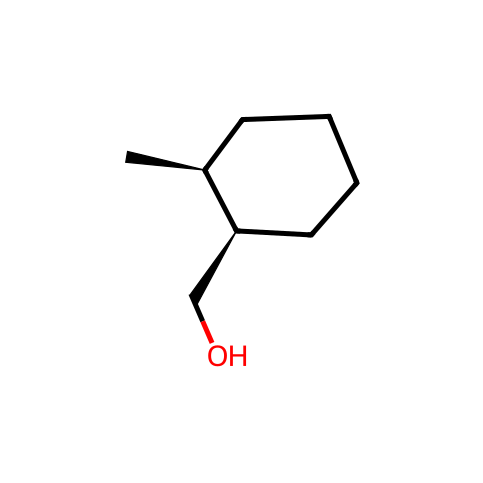 C[C@H]1CCCC[C@H]1CO